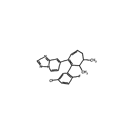 CC1CC=CC(c2ccn3ncnc3c2)=C(c2cc(Cl)ccc2F)C1C